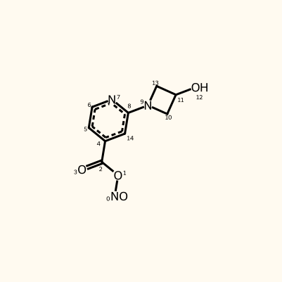 O=NOC(=O)c1ccnc(N2CC(O)C2)c1